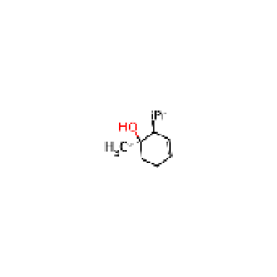 CC(C)[C@H]1C=CCC[C@@]1(C)O